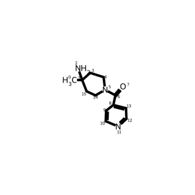 CC1(N)CCN(C(=O)c2ccncc2)CC1